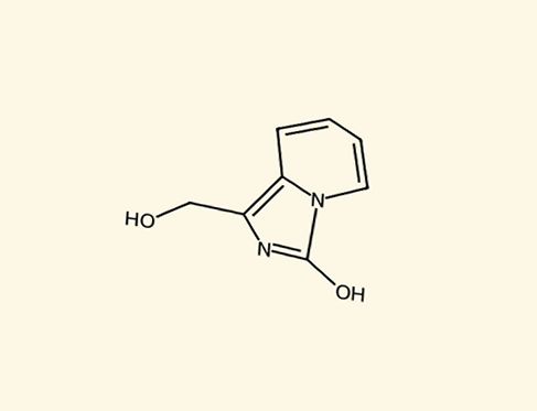 OCc1nc(O)n2ccccc12